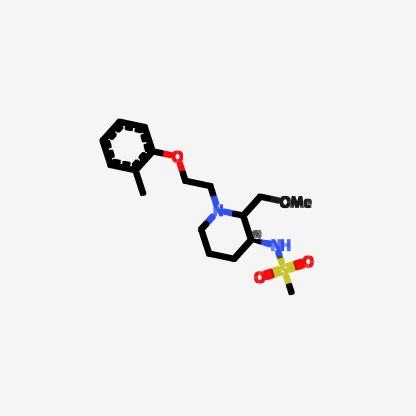 COCC1[C@@H](NS(C)(=O)=O)CCCN1CCOc1ccccc1C